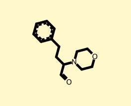 O=CC(CCc1ccccc1)N1CCOCC1